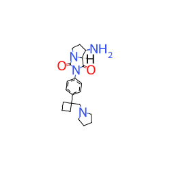 N[C@@H]1CCN2C(=O)N(c3ccc(C4(CN5CCCC5)CCC4)cc3)C(=O)[C@H]12